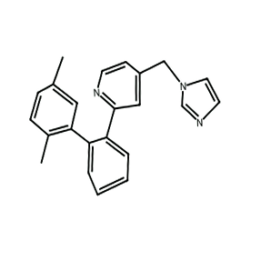 Cc1ccc(C)c(-c2ccccc2-c2cc(Cn3ccnc3)ccn2)c1